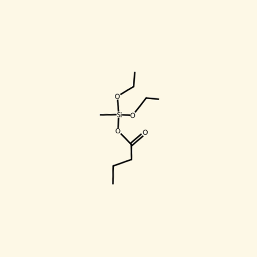 CCCC(=O)O[Si](C)(OCC)OCC